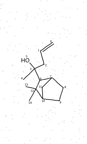 C=CCC(C)(O)C1C2CCC(C2)C1(C)C